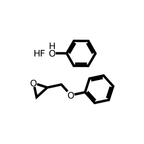 F.Oc1ccccc1.c1ccc(OCC2CO2)cc1